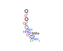 CNc1nc(N)c(Cl)nc1C(=O)/N=C1\NCC2(CCN(C(=O)Cc3ccc(OCc4ccccc4)cc3)CC2)N1